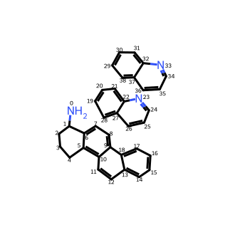 NC1CCCc2c1ccc1c2ccc2ccccc21.c1ccc2ncccc2c1.c1ccc2ncccc2c1